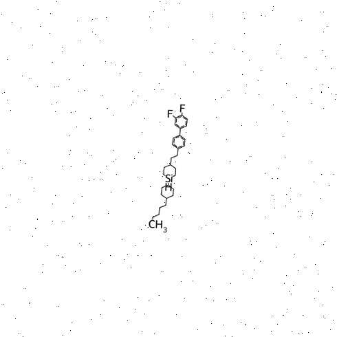 CCCCCC1CCC([SiH]2CCC(CCc3ccc(-c4ccc(F)c(F)c4)cc3)CC2)CC1